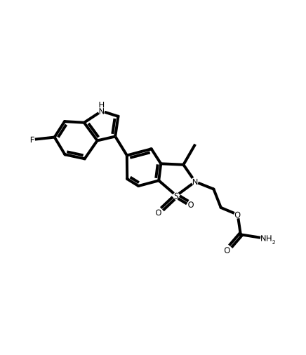 CC1c2cc(-c3c[nH]c4cc(F)ccc34)ccc2S(=O)(=O)N1CCOC(N)=O